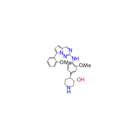 COc1cc([C@@H]2CCNC[C@H]2O)ccc1Nc1ncc2ccc(-c3ccccc3OC)n2n1